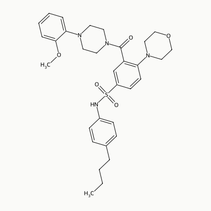 CCCCc1ccc(NS(=O)(=O)c2ccc(N3CCOCC3)c(C(=O)N3CCN(c4ccccc4OC)CC3)c2)cc1